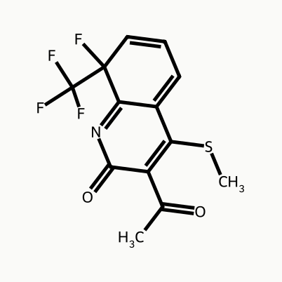 CSC1=C(C(C)=O)C(=O)N=C2C1=CC=CC2(F)C(F)(F)F